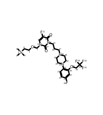 C[Si](C)(C)CCOCn1cc(F)c(=O)n(CCCN2CCN(c3ccc(F)cc3OCC(F)(F)F)CC2)c1=O